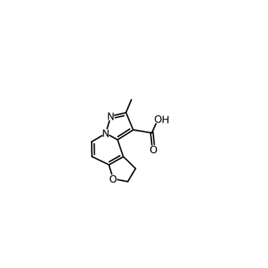 Cc1nn2ccc3c(c2c1C(=O)O)CCO3